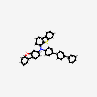 c1ccc(-c2ccc(-c3ccc(N(c4ccc5c(c4)oc4ccccc45)c4cccc5c4sc4ccccc45)cc3)cc2)cc1